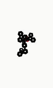 c1ccc2c(c1)-c1cc(N(c3ccc(-c4cccc5c4oc4ccccc45)cc3)c3cccc4c3C3(c5ccccc5-4)C4CC5CC(C4)CC3C5)ccc1C21CCCC1